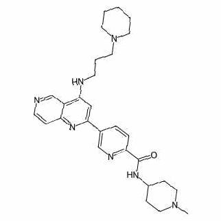 CN1CCC(NC(=O)c2ccc(-c3cc(NCCCN4CCCCC4)c4cnccc4n3)cn2)CC1